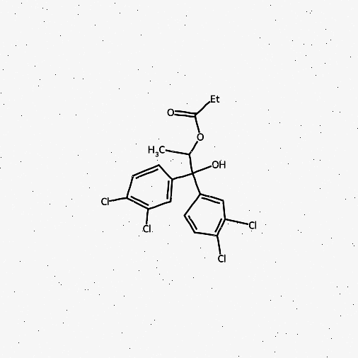 CCC(=O)OC(C)C(O)(c1ccc(Cl)c(Cl)c1)c1ccc(Cl)c(Cl)c1